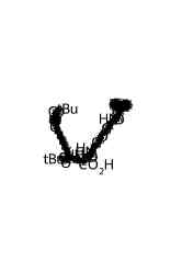 CC(C)(C)OC(=O)c1ccc(OCCCCCCCCCCN[C@@H](CCCN[C@@H](CCC(=O)NCCCOCCOCCOCCCNC(=O)OCC2c3ccccc3-c3ccccc32)C(=O)O)C(=O)OC(C)(C)C)cc1